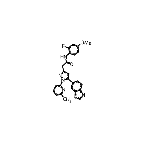 COc1ccc(NC(=O)Cc2cc(-c3ccc4ncsc4c3)n(-c3cccc(C)n3)n2)c(F)c1